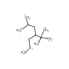 CC(C)CC(CON)C(C)(C)C